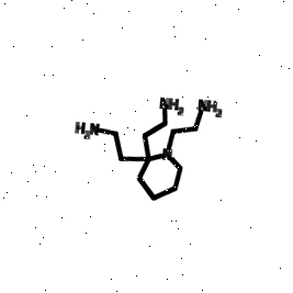 NCCN1CCCCC1(CCN)CCN